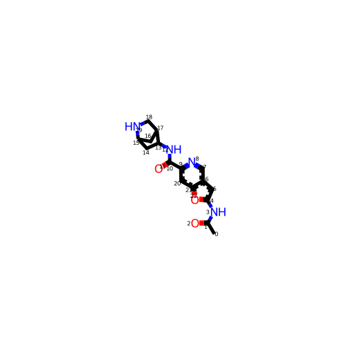 CC(=O)Nc1cc2cnc(C(=O)NC3CC4CC3CN4)cc2o1